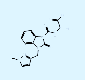 Cn1ccc(Cn2c(=O)n(C(=O)N[C@H](C(N)=O)C(C)(C)C)c3ccccc32)n1